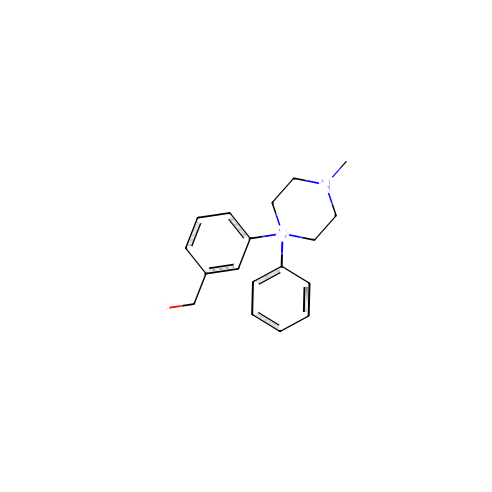 CN1CC[N+](c2ccccc2)(c2cccc(CO)c2)CC1